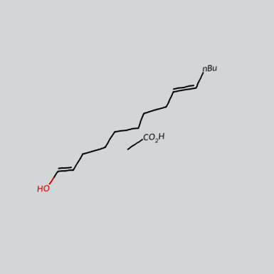 CC(=O)O.CCCCC=CCCCCCCC=CO